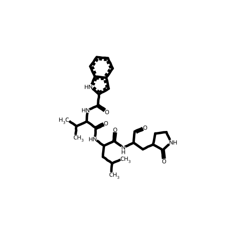 CC(C)CC(NC(=O)C(NC(=O)c1cc2ccccc2[nH]1)C(C)C)C(=O)NC(C=O)CC1CCNC1=O